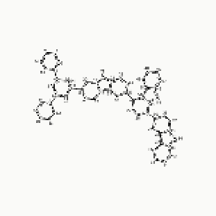 c1ccc(-c2nc(-c3ccccc3)nc(-c3ccc4c(c3)sc3ccc(-c5ccc(-c6ccc7sc8ccccc8c7c6)c6sc7ccccc7c56)cc34)n2)cc1